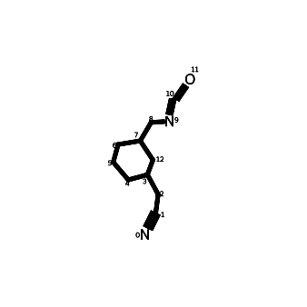 N#CCC1CCCC(CN=C=O)C1